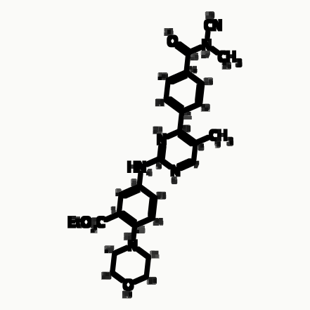 CCOC(=O)c1cc(Nc2ncc(C)c(-c3ccc(C(=O)N(C)C#N)cc3)n2)ccc1N1CCOCC1